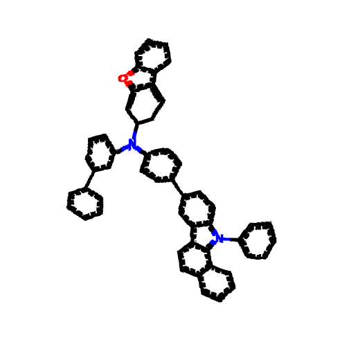 C1=c2oc3ccccc3c2=CCC1N(c1ccc(-c2ccc3c(c2)c2ccc4ccccc4c2n3-c2ccccc2)cc1)c1cccc(-c2ccccc2)c1